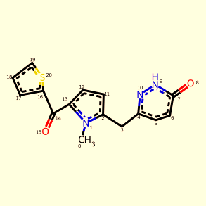 Cn1c(Cc2ccc(=O)[nH]n2)ccc1C(=O)c1cccs1